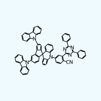 N#Cc1ccc(N2c3ccccc3C3(c4ccc(-n5c6ccccc6c6ccccc65)cc4-c4cc(-n5c6ccccc6c6ccccc65)ccc43)c3ccccc32)cc1-c1nc(-c2ccccc2)nc(-c2ccccc2)n1